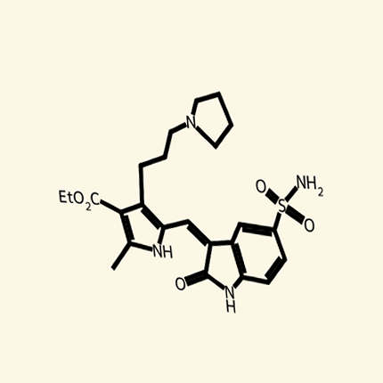 CCOC(=O)c1c(C)[nH]c(/C=C2\C(=O)Nc3ccc(S(N)(=O)=O)cc32)c1CCCN1CCCC1